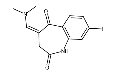 CN(C)C=C1CC(=O)Nc2cc(I)ccc2C1=O